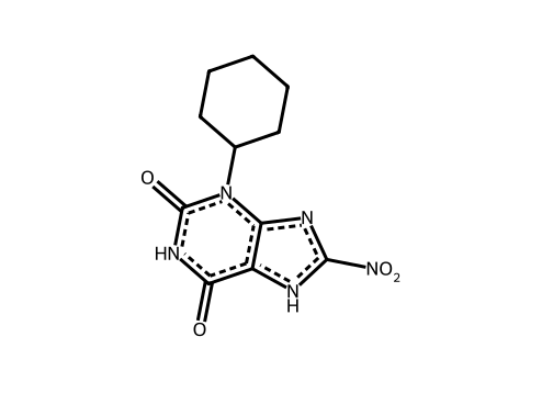 O=c1[nH]c(=O)n(C2CCCCC2)c2nc([N+](=O)[O-])[nH]c12